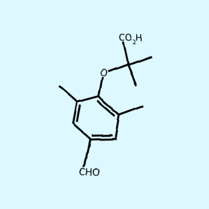 Cc1cc(C=O)cc(C)c1OC(C)(C)C(=O)O